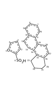 O=S(=O)(O)c1ccco1.c1ccc2c(c1)ccc1c3c(ccc12)CCCC3